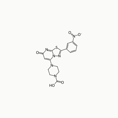 O=C(O)N1CCN(c2cc(=O)nc3sc(-c4cccc([N+](=O)[O-])c4)nn23)CC1